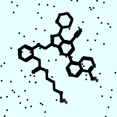 COCCCOC(=O)Cc1ccccc1OCc1nn(C2CCCCO2)c2c(C#N)cc(-c3cccc4c(N)nccc34)cc12